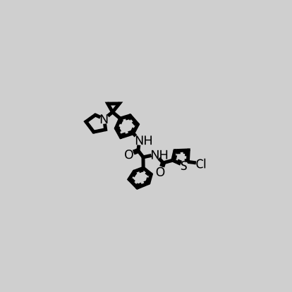 O=C(NC(C(=O)Nc1ccc(C2(N3CCCC3)CC2)cc1)c1ccccc1)c1ccc(Cl)s1